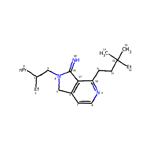 CCCC(CC)CN1Cc2ccnc(CCC(C)(C)CC)c2C1=N